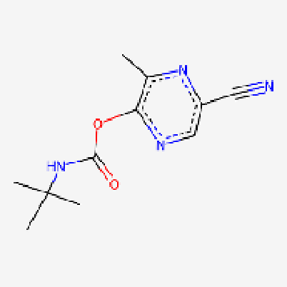 Cc1nc(C#N)cnc1OC(=O)NC(C)(C)C